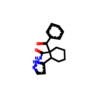 NC(=O)C1(C(=O)c2ccccc2)CCCCC1c1ccn[nH]1